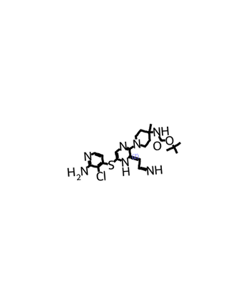 CC1(NC(=O)OC(C)(C)C)CCN(C2=NC=C(Sc3ccnc(N)c3Cl)N/C2=C\C=N)CC1